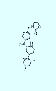 Cc1cnc(N2CCNC(C(=O)c3ccc(CN4CCOC4=O)cc3)C2)c(C)c1